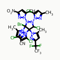 Cc1cc(Cl)n(N2C(Cl)C(n3nc(C(F)(F)C(F)(F)F)cc3C)(n3nc(Cl)cc3Cl)C(Br)(n3nc(C#N)cc3C)N2n2nc([N+](=O)[O-])cc2C)n1